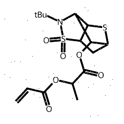 C=CC(=O)OC(C)C(=O)OC1C2CC3C(S2)C1N(C(C)(C)C)S3(=O)=O